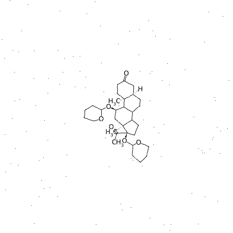 CC(=O)[C@@]1(OC2CCCCO2)CCC2C3CC[C@@H]4CC(=O)CC[C@]4(C)C3[C@H](OC3CCCCO3)C[C@@]21C